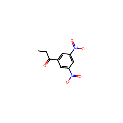 [CH2]CC(=O)c1cc([N+](=O)[O-])cc([N+](=O)[O-])c1